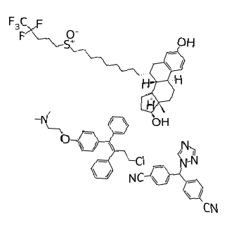 CN(C)CCOc1ccc(/C(=C(/CCCl)c2ccccc2)c2ccccc2)cc1.C[C@]12CC[C@@H]3c4ccc(O)cc4C[C@@H](CCCCCCCCC[S+]([O-])CCCC(F)(F)C(F)(F)F)[C@H]3[C@@H]1CC[C@@H]2O.N#Cc1ccc(C(c2ccc(C#N)cc2)n2cncn2)cc1